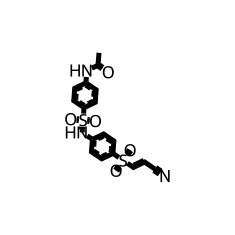 CC(=O)Nc1ccc(S(=O)(=O)Nc2ccc(S(=O)(=O)/C=C/C#N)cc2)cc1